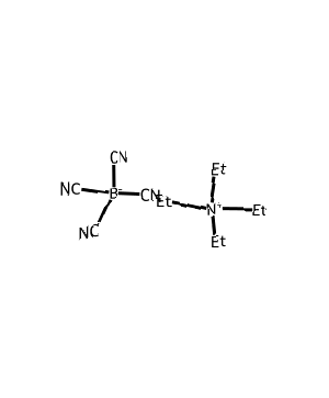 CC[N+](CC)(CC)CC.N#C[B-](C#N)(C#N)C#N